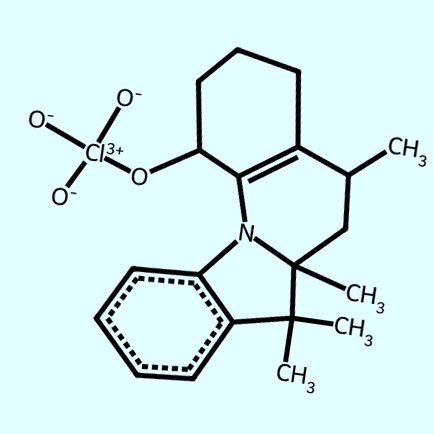 CC1CC2(C)N(C3=C1CCCC3O[Cl+3]([O-])([O-])[O-])c1ccccc1C2(C)C